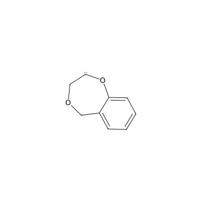 [C]1COCc2ccccc2O1